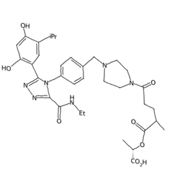 CCNC(=O)c1nnc(-c2cc(C(C)C)c(O)cc2O)n1-c1ccc(CN2CCN(C(=O)CCC(C)C(=O)O[C@@H](C)C(=O)O)CC2)cc1